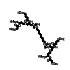 CCCCCCCCCCCCCC(=O)NC(COCC[C@@H](CCCCCCC)OC(=O)CCCCCCCCCCC)COP(=O)(O)OCCCCCCCCOP(=O)(O)OCC(COCC[C@@H](CCCCCCC)OC(=O)CCCCCCCCCCC)NC(=O)CCCCCCCCCCCCC